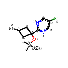 CCC1CC(O[Si](C)(C)C(C)(C)C)(c2ncc(Br)cn2)C1